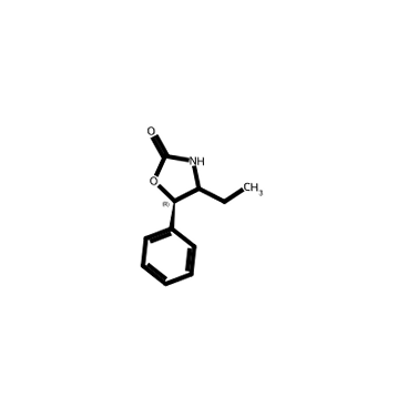 CCC1NC(=O)O[C@@H]1c1ccccc1